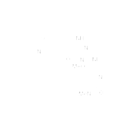 CNC(=O)c1cc(OC)c(Nc2nc(OC3CCCC3)c3c(-c4ccc5nc(C)oc5c4)c[nH]c3n2)cn1